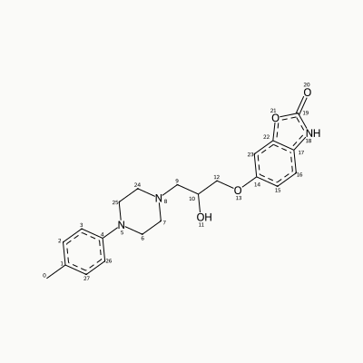 Cc1ccc(N2CCN(CC(O)COc3ccc4[nH]c(=O)oc4c3)CC2)cc1